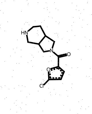 O=C(c1ccc(Cl)o1)N1CC2CCNCC2C1